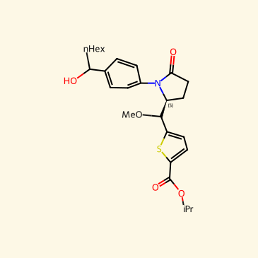 CCCCCCC(O)c1ccc(N2C(=O)CC[C@H]2C(OC)c2ccc(C(=O)OC(C)C)s2)cc1